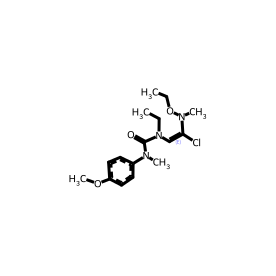 CCON(C)/C(Cl)=C\N(CC)C(=O)N(C)c1ccc(OC)cc1